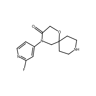 O=C1COC2(CCNCC2)CN1c1ccnc(F)c1